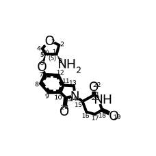 N[C@H]1COC[C@@H]1Oc1ccc2c(c1)CN(C1CCC(=O)NC1=O)C2=O